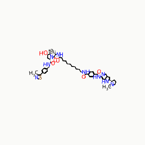 Cc1ncsc1-c1ccc(CNC(=O)[C@@H]2C[C@@H](O)CN2C(=O)[C@@H](NC(=O)CCCCCCCCCCNC(=O)c2ccc(C(=O)Nc3cc4[nH]c([C@H]5CCCN5C)cc4cn3)cc2)C(C)(C)C)cc1